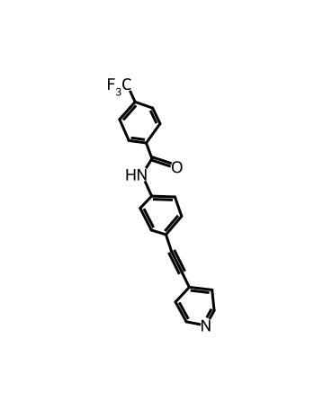 O=C(Nc1ccc(C#Cc2ccncc2)cc1)c1ccc(C(F)(F)F)cc1